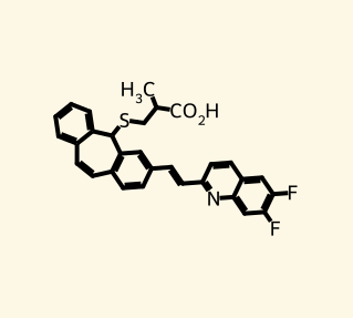 CC(CSC1c2ccccc2C=Cc2ccc(C=Cc3ccc4cc(F)c(F)cc4n3)cc21)C(=O)O